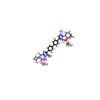 C[C@H]1CC[C@H]1N(C(=O)OC(C)(C)C)[C@@H](C)c1nc(-c2ccc(-c3ccc(-c4c[nH]c([C@@H]5CCC6CC6N5C(=O)OC(C)(C)C)n4)cc3)cc2)c(Br)[nH]1